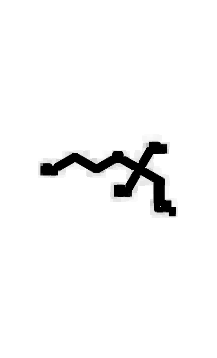 C=C[Si](OCCC(C)CC)(C(C)CC)C(C)CC